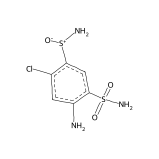 Nc1cc(Cl)c([S+](N)[O-])cc1S(N)(=O)=O